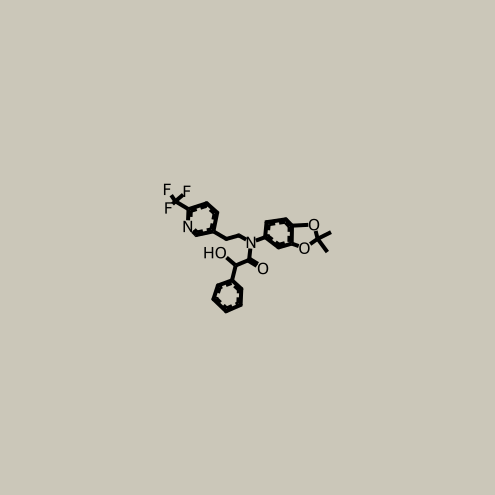 CC1(C)Oc2ccc(N(CCc3ccc(C(F)(F)F)nc3)C(=O)C(O)c3ccccc3)cc2O1